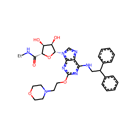 CCNC(=O)[C@H]1O[C@@H](n2cnc3c(NCC(c4ccccc4)c4ccccc4)nc(OCCN4CCOCC4)nc32)[C@H](O)[C@@H]1O